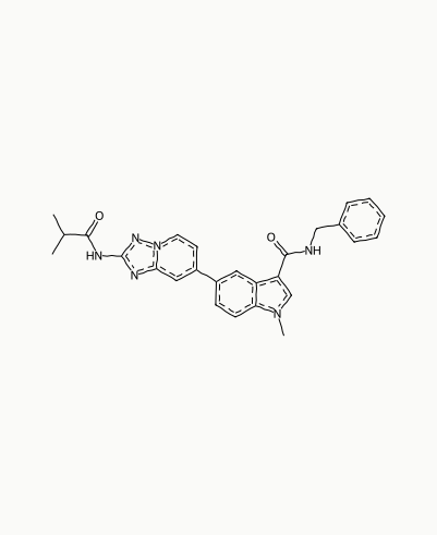 CC(C)C(=O)Nc1nc2cc(-c3ccc4c(c3)c(C(=O)NCc3ccccc3)cn4C)ccn2n1